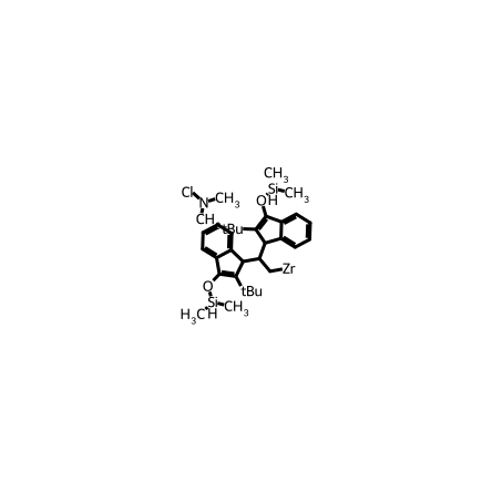 CN(C)Cl.C[SiH](C)OC1=C(C(C)(C)C)C(C([CH2][Zr])C2C(C(C)(C)C)=C(O[SiH](C)C)c3ccccc32)c2ccccc21